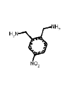 NCc1ccc([N+](=O)[O-])cc1CN